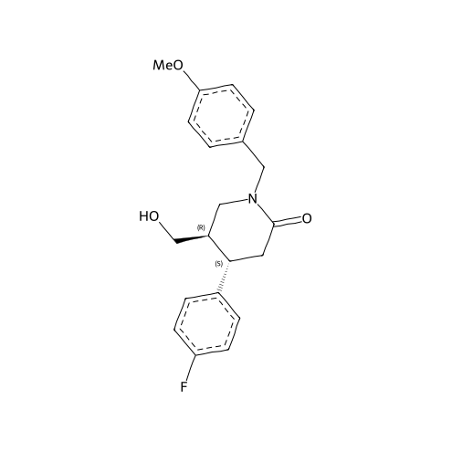 COc1ccc(CN2C[C@H](CO)[C@@H](c3ccc(F)cc3)CC2=O)cc1